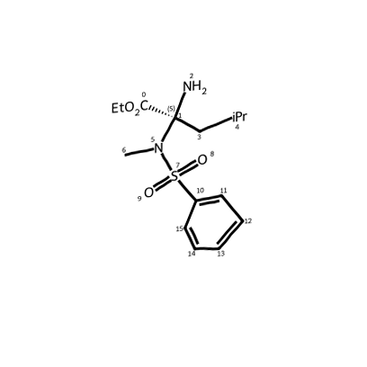 CCOC(=O)[C@](N)(CC(C)C)N(C)S(=O)(=O)c1ccccc1